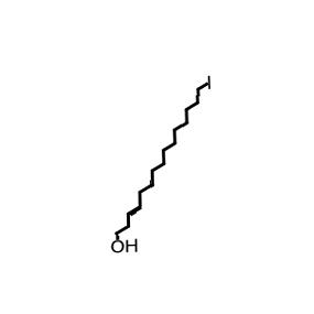 OCC/C=C/CCCCCCCCCCCI